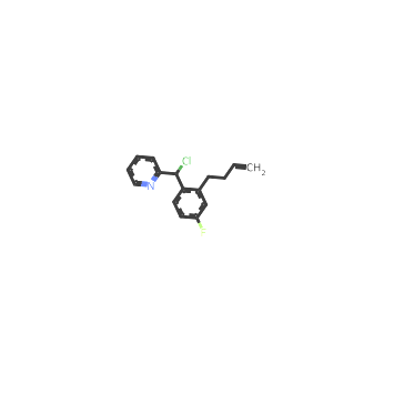 C=CCCc1cc(F)ccc1C(Cl)c1ccccn1